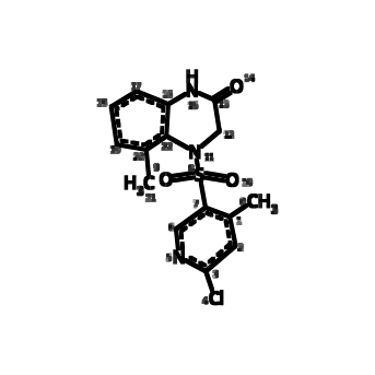 Cc1cc(Cl)ncc1S(=O)(=O)N1CC(=O)Nc2cccc(C)c21